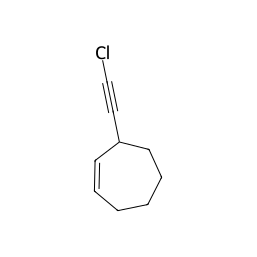 ClC#CC1C=CCCCC1